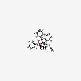 COC(=O)C(CC(CCCCC#N)c1ccccc1)(c1ccccc1)c1ccccc1